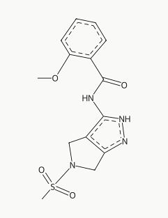 COc1ccccc1C(=O)Nc1[nH]nc2c1CN(S(C)(=O)=O)C2